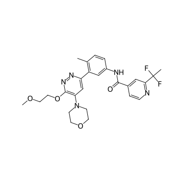 COCCOc1nnc(-c2cc(NC(=O)c3ccnc(C(C)(F)F)c3)ccc2C)cc1N1CCOCC1